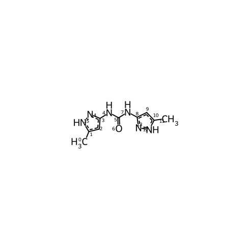 Cc1cc(NC(=O)Nc2cc(C)[nH]n2)n[nH]1